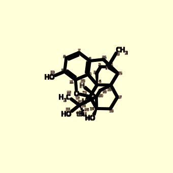 CN1CC[C@]23c4c5ccc(O)c4O[C@H]2[C@@]2(O)CCC3(C[C@H]2[C@](C)(O)C(C)(C)C)C1C5